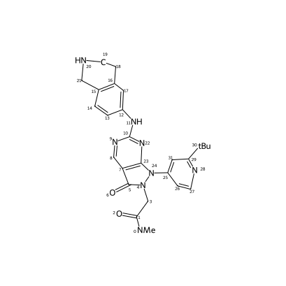 CNC(=O)Cn1c(=O)c2cnc(Nc3ccc4c(c3)CCNC4)nc2n1-c1ccnc(C(C)(C)C)c1